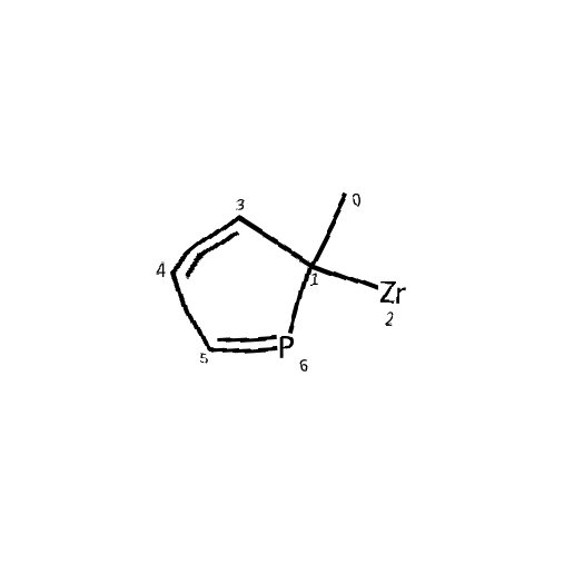 C[C]1([Zr])C=CC=P1